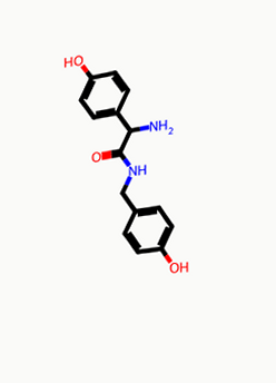 NC(C(=O)NCc1ccc(O)cc1)c1ccc(O)cc1